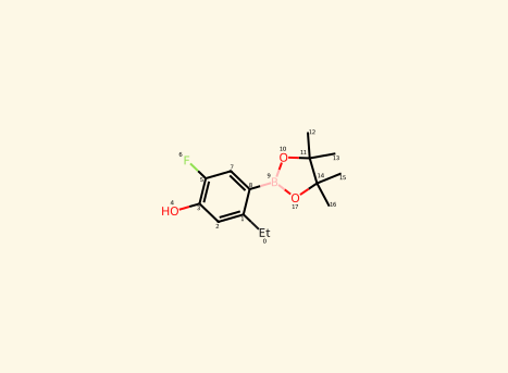 CCc1cc(O)c(F)cc1B1OC(C)(C)C(C)(C)O1